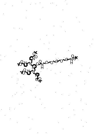 CC(C)(C)OC(=O)NCCOCCOCCOCCOCCOCCNC(=O)COc1cc(CN(Cc2cccc(C(=O)OC(C)(C)C)n2)Cc2cccc(C(=O)OC(C)(C)C)n2)nc(CN(Cc2cccc(C(=O)OC(C)(C)C)n2)Cc2cccc(C(=O)OC(C)(C)C)n2)c1